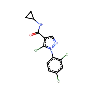 O=C(NC1CC1)c1cnn(-c2ccc(Cl)cc2Cl)c1Cl